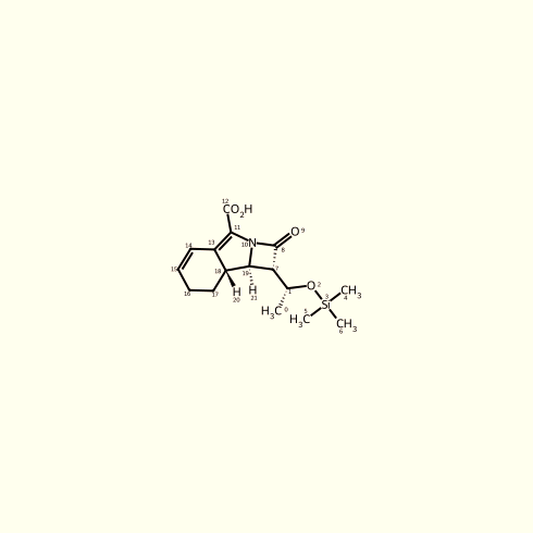 C[C@@H](O[Si](C)(C)C)[C@H]1C(=O)N2C(C(=O)O)=C3C=CCC[C@H]3[C@H]12